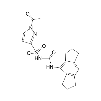 CC(=O)n1ccc(S(=O)(=O)NC(=O)Nc2c3c(cc4c2CCC4)CCC3)n1